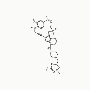 CCC(=O)OC(COC)CN1CCC(Nc2cccc3c2cc(C#CCN(C)c2ccc([S+](C)[O-])cc2OC)n3CC(F)(F)F)CC1